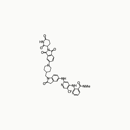 CNC(=O)c1ccccc1Nc1cc(Nc2ccc3c(c2)CC(=O)N3CC2CCN(c3ccc4c(c3)C(=O)N(C3CCC(=O)NC3=O)C4=O)CC2)ncc1C(F)(F)F